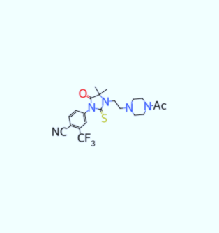 CC(=O)N1CCN(CCN2C(=S)N(c3ccc(C#N)c(C(F)(F)F)c3)C(=O)C2(C)C)CC1